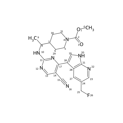 COC(=O)N1CCC(C(C)Nc2ncc(C#N)c(-c3c[nH]c4ncc(CF)cc34)n2)CC1